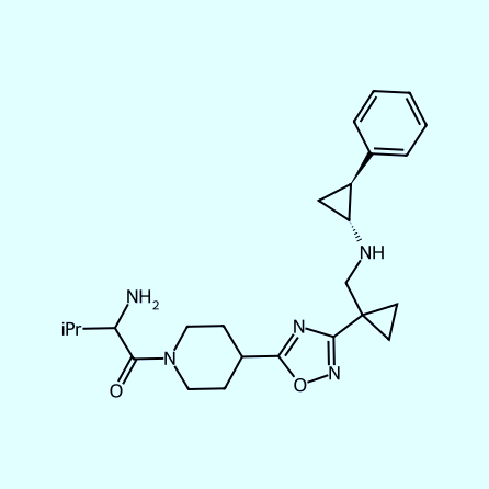 CC(C)C(N)C(=O)N1CCC(c2nc(C3(CN[C@@H]4C[C@H]4c4ccccc4)CC3)no2)CC1